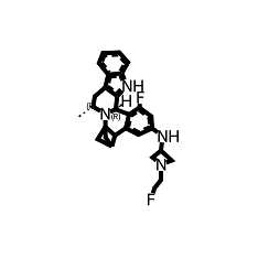 C[C@@H]1Cc2c([nH]c3ccccc23)[C@H]2c3c(F)cc(NC4CN(CCF)C4)cc3C3C4CC3(C4)N21